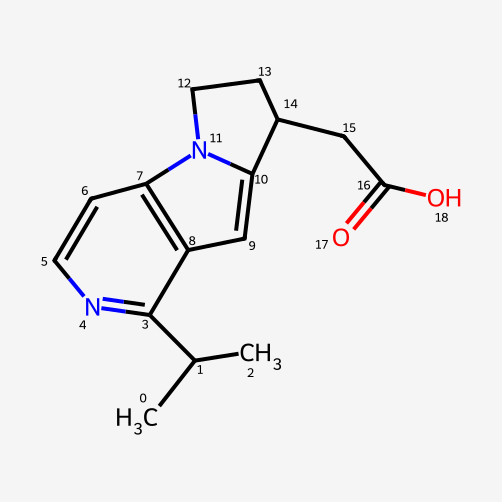 CC(C)c1nccc2c1cc1n2CCC1CC(=O)O